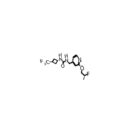 C[C@H](F)COc1cc(CNC(=O)N[C@H]2C[C@H](C(F)(F)F)C2)ccn1